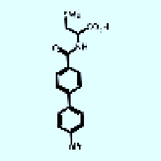 CCCc1ccc(-c2ccc(C(=O)NC(CSC)C(=O)O)cc2)cc1